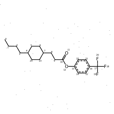 CCCCC1CCC(CCC(=O)Oc2ccc(C(F)(F)F)cc2)CC1